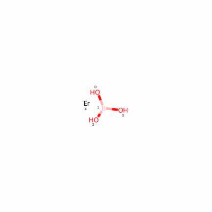 OB(O)O.[Er]